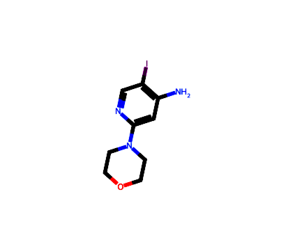 Nc1cc(N2CCOCC2)ncc1I